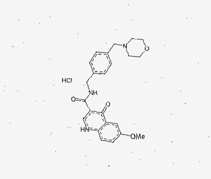 COc1ccc2[nH]cc(C(=O)NCc3ccc(CN4CCOCC4)cc3)c(=O)c2c1.Cl